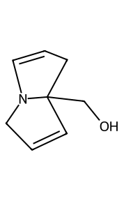 OCC12C=CCN1C=CC2